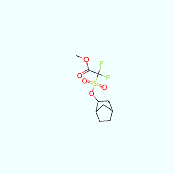 COC(=O)C(F)(F)S(=O)(=O)OC1CC2CCC1C2